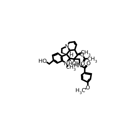 CC[C@]12C=CCN3CC[C@@]4(c5ccc(CO)cc5N(C)[C@H]4C(O)(CNC(=O)c4ccc(OC)cc4)[C@@H]1OC(C)=O)[C@@H]32